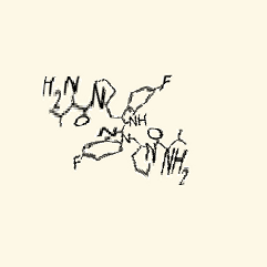 CC(C)C(N)C(=O)N1CCC[C@H]1Cc1c(-c2nc3cc(F)ccc3n2C[C@@H]2CCCN2C(=O)C(N)C(C)C)[nH]c2cc(F)ccc12